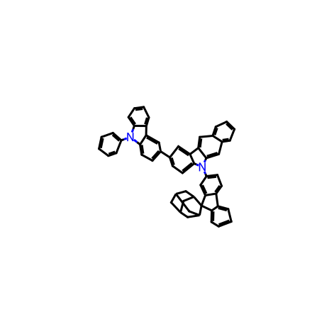 c1ccc(-n2c3ccccc3c3cc(-c4ccc5c(c4)c4cc6ccccc6cc4n5-c4ccc5c(c4)C4(c6ccccc6-5)C5CC6CC(C5)CC4C6)ccc32)cc1